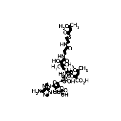 C=C(C)CC(=O)C(=O)O.C=C(C)CC(=O)SCCNC(=O)CCNC(=O)C(O)C(C)(C)COP(=O)(O)OP(=O)(O)OC[C@H]1O[C@@H](n2cnc3c(N)ncnc32)[C@H](O)[C@@H]1OP(=O)(O)O